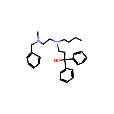 CCCCN(CCN(C)Cc1ccccc1)CCC(O)(c1ccccc1)c1ccccc1